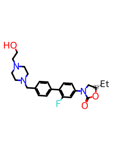 CC[C@H]1CN(c2ccc(-c3ccc(CN4CCN(CCO)CC4)cc3)c(F)c2)C(=O)O1